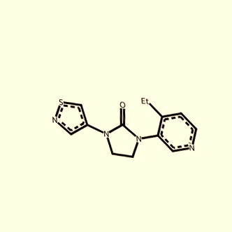 CCc1ccncc1N1CCN(c2cnsc2)C1=O